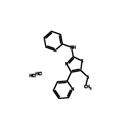 CSc1sc(Nc2ccccn2)nc1-c1ccccn1.Cl.Cl